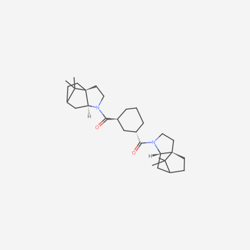 CC1(C)C2CC[C@@]13CCN(C(=O)[C@H]1CCC[C@H](C(=O)N4CC[C@@]56CCC(C[C@H]45)C6(C)C)C1)[C@H]3C2